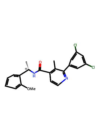 COc1ccccc1[C@H](C)NC(=O)c1ccnc(-c2cc(Cl)cc(Cl)c2)c1C